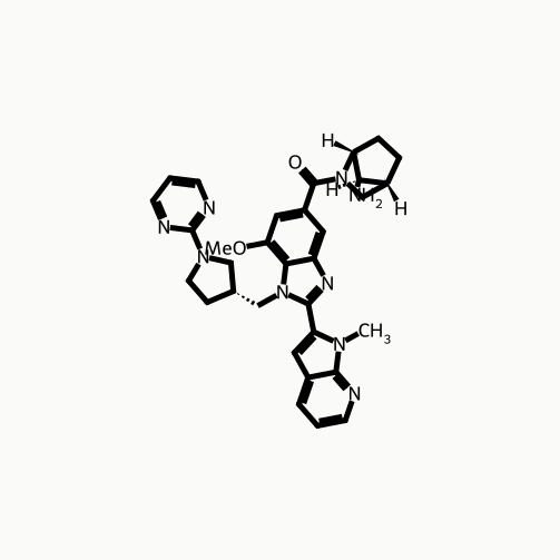 COc1cc(C(=O)N2C[C@H]3CC[C@@H]2[C@@H]3N)cc2nc(-c3cc4cccnc4n3C)n(C[C@@H]3CCN(c4ncccn4)C3)c12